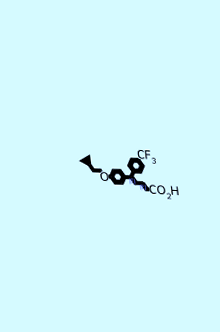 O=C(O)/C=C/C=C(/c1ccc(OCCC2CC2)cc1)c1ccc(C(F)(F)F)cc1